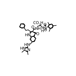 Cc1cc(C)c(S(=O)(=O)NC(CNC(=O)c2c(CCc3ccccc3)[nH]c3cc(CNc4nc(C)c(C)[nH]4)ccc3c2=O)C(=O)O)c(C)c1